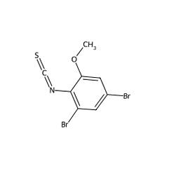 COc1cc(Br)cc(Br)c1N=C=S